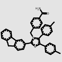 Cc1ccc(-c2nc(-c3ccc4c(c3)-c3ccccc3C4)n(Cc3ccc(C(N)=O)cc3)c2-c2ccc(C)cc2)cc1